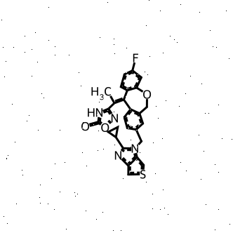 CC(=C1c2ccc(Cn3c(C4CC4)nc4cscc43)cc2COc2cc(F)ccc21)c1noc(=O)[nH]1